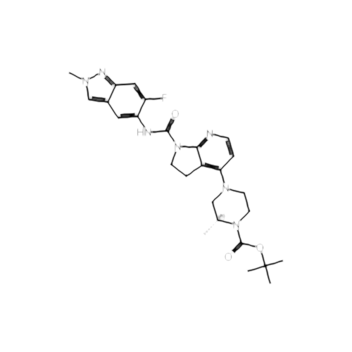 C[C@@H]1CN(c2ccnc3c2CCN3C(=O)Nc2cc3cn(C)nc3cc2F)CCN1C(=O)OC(C)(C)C